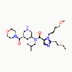 CCCCc1ncc(C(=O)N(CC(C)C)[C@@H]2CNC[C@H](C(=O)N3CCOCC3)C2)n1CCCCOC